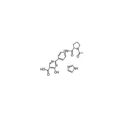 CC(=O)N1CCCC1C(=O)Nc1ccc(-c2ncc(C(=O)O)c(O)n2)cc1.c1c[nH]cn1